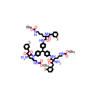 CC(C)(C)OC(=O)NCCCC[C@](N)(C(=O)CC1=CC(=S)CC=C1)C(=O)Nc1ccc(C(c2ccc(NC(=O)[C@](N)(CCCCNC(=O)OC(C)(C)C)C(=O)CC3=CC(=S)CC=C3)cc2)c2ccc(NC(=O)[C@](N)(CCCCNC(=O)OC(C)(C)C)C(=O)CC3=CC(=S)CC=C3)cc2)cc1